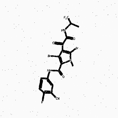 CC(NC(=O)C(=O)c1c(Br)c(C(=O)Nc2ccc(F)c(C#N)c2)n(C)c1Br)C(F)(F)F